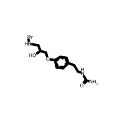 CC(C)NCC(O)COc1ccc(CCNC(N)=O)cc1